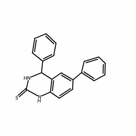 S=C1Nc2ccc(-c3ccccc3)cc2C(c2ccccc2)N1